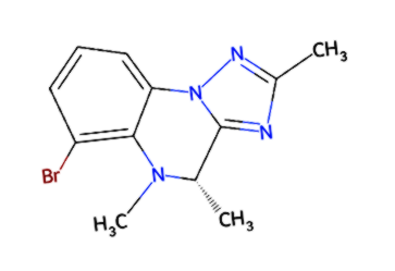 Cc1nc2n(n1)-c1cccc(Br)c1N(C)[C@H]2C